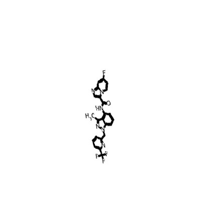 Cc1nn(Cc2cccc(C(F)(F)F)n2)c2cccc(NC(=O)c3cnc4cc(F)ccn34)c12